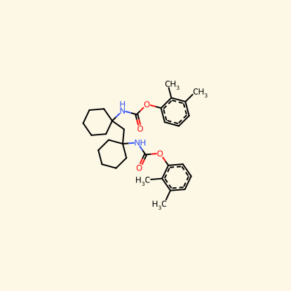 Cc1cccc(OC(=O)NC2(CC3(NC(=O)Oc4cccc(C)c4C)CCCCC3)CCCCC2)c1C